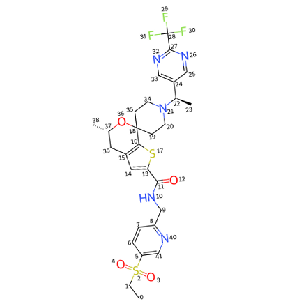 CCS(=O)(=O)c1ccc(CNC(=O)c2cc3c(s2)C2(CCN([C@H](C)c4cnc(C(F)(F)F)nc4)CC2)O[C@@H](C)C3)nc1